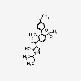 CCC(C)n1ncc(C(=O)c2ccc(S(C)(=O)=O)c(-c3ccc(OC)cc3)c2C)c1O